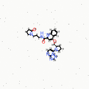 O=C(NCCCN1CCCC1=O)c1cc(OC[C@H]2CCCN2c2ccnc3ncnn23)c2ccccc2n1